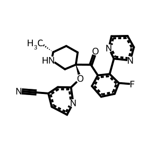 C[C@@H]1CC[C@](Oc2cc(C#N)ccn2)(C(=O)c2cccc(F)c2-c2ncccn2)CN1